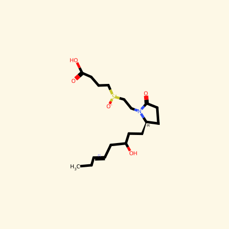 CC/C=C/CC(O)CC[C@@H]1CCC(=O)N1CC[S+]([O-])CCCC(=O)O